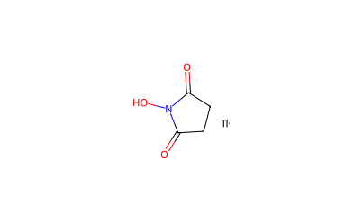 O=C1CCC(=O)N1O.[Tl]